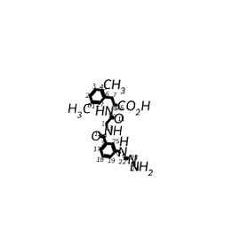 Cc1ccc(C)c(CC(NC(=O)CNC(=O)c2cccc(NC=NN)c2)C(=O)O)c1